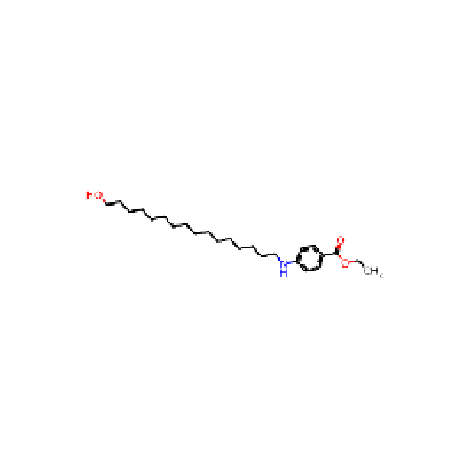 CCOC(=O)c1ccc(NCCCCCCCCCCCCCCCCO)cc1